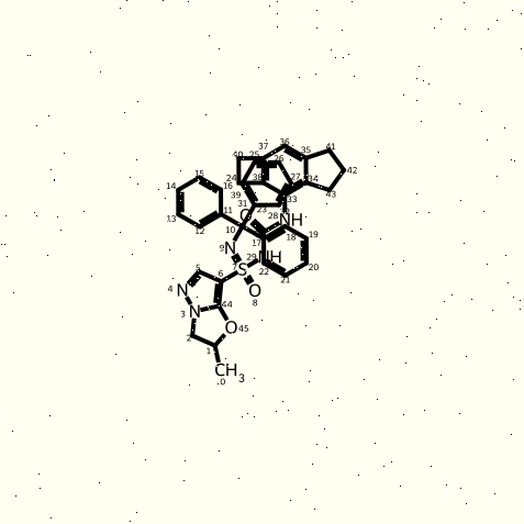 CC1Cn2ncc(S(=O)(=NC(c3ccccc3)(c3ccccc3)c3ccccc3)NC(=O)Nc3c4c(cc5c3CC5)CCC4)c2O1